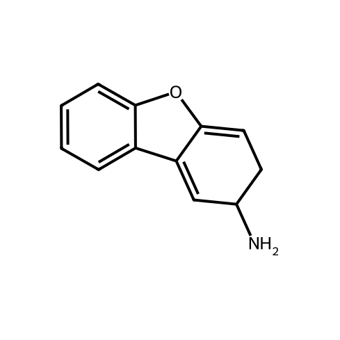 NC1C=c2c(oc3ccccc23)=CC1